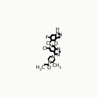 C=CC(=O)N1CCN(c2ncnc3c(Oc4c(Cl)c(F)cc5[nH]ncc45)nc(Cl)cc23)C[C@@H]1C